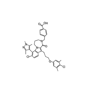 Cc1cc(OCCCc2c3n(c4c(-c5c(C)nn(C)c5C)c(Cl)ccc24)CCCN(Cc2ccc(C(=O)O)cc2)C3=O)cc(C)c1Cl